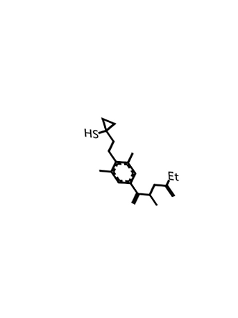 C=C(CC)CC(C)C(=C)c1cc(C)c(CCC2(S)CC2)c(C)c1